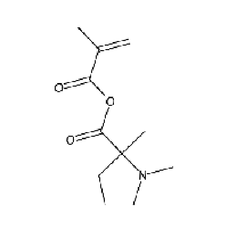 C=C(C)C(=O)OC(=O)C(C)(CC)N(C)C